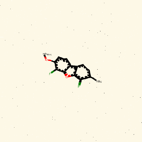 CCCCCOc1ccc2c(oc3c(F)c(CCCC)ccc32)c1F